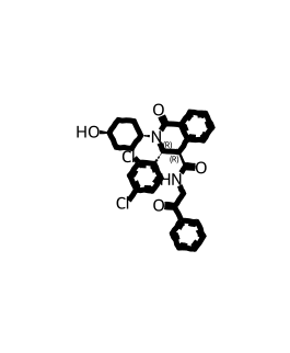 O=C(CNC(=O)[C@@H]1c2ccccc2C(=O)N([C@H]2CC[C@H](O)CC2)[C@H]1c1ccc(Cl)cc1Cl)c1ccccc1